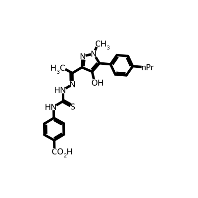 CCCc1ccc(-c2c(O)c(C(C)=NNC(=S)Nc3ccc(C(=O)O)cc3)nn2C)cc1